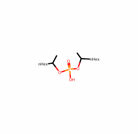 CCCCCCC(C)OP(=O)(O)OC(C)CCCCCC